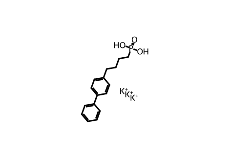 O=P(O)(O)CCCCc1ccc(-c2ccccc2)cc1.[K+].[K+].[K+]